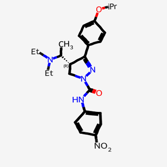 CCN(CC)C(C)[C@H]1CN(C(=O)Nc2ccc([N+](=O)[O-])cc2)N=C1c1ccc(OC(C)C)cc1